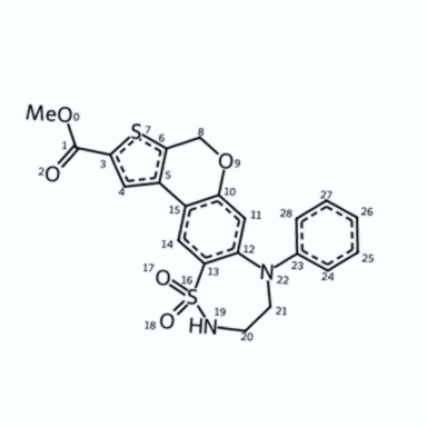 COC(=O)c1cc2c(s1)COc1cc3c(cc1-2)S(=O)(=O)NCCN3c1ccccc1